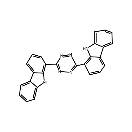 c1ccc2c(c1)[nH]c1c(-c3nnc(-c4cccc5c4[nH]c4ccccc45)nn3)cccc12